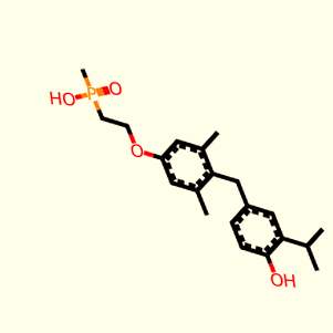 Cc1cc(OCCP(C)(=O)O)cc(C)c1Cc1ccc(O)c(C(C)C)c1